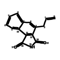 C=CCc1cc2ccccc2c2c1C(=O)NC2=O